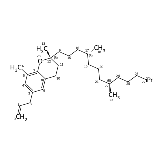 C=CCc1cc(C)c2c(c1)CC[C@@](C)(CCC[C@H](C)CCC[C@H](C)CCCC(C)C)O2